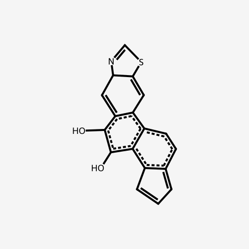 Oc1c(O)c2c3c(ccc2c2c1=CC1N=CSC1=C2)=CC=C3